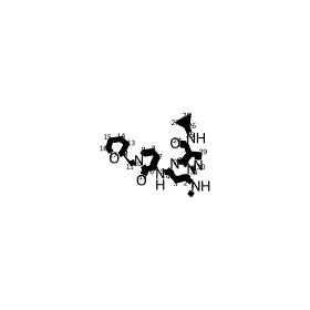 CNc1cc(Nc2cccn(C[C@@H]3CCCCO3)c2=O)nc2c(C(=O)NC3CC3)cnn12